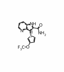 NC(=O)c1[nH]c2cccnc2c1[SH]1C=CC(OC(F)(F)F)=C1